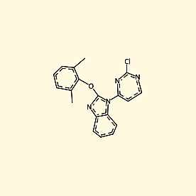 Cc1cccc(C)c1Oc1nc2ccccc2n1-c1ccnc(Cl)n1